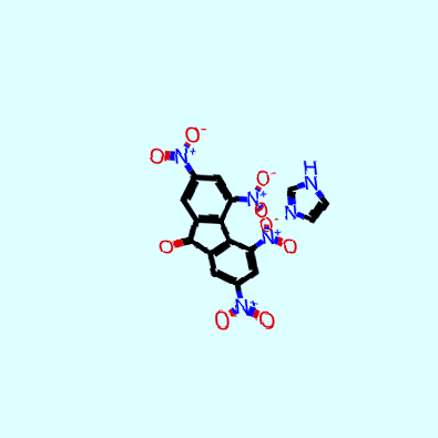 O=C1c2cc([N+](=O)[O-])cc([N+](=O)[O-])c2-c2c1cc([N+](=O)[O-])cc2[N+](=O)[O-].c1c[nH]cn1